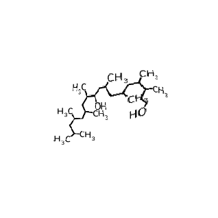 CC(C)CC(C)CC(C)CC(C)C(O)CC(C)CC(C)CC(C)C(C)CCO